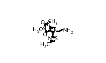 Cc1csc(-c2c3c(=O)n(C)c(=O)n(C)c3cn2CCN)n1